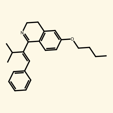 CCCCOc1ccc2c(c1)CCN=C2C(=Cc1ccccc1)C(C)C